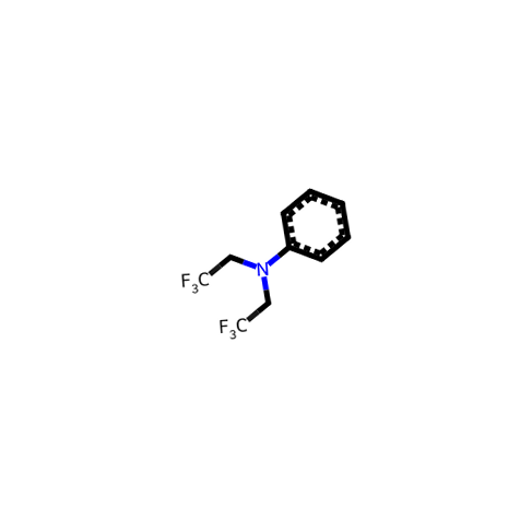 FC(F)(F)CN(CC(F)(F)F)c1ccccc1